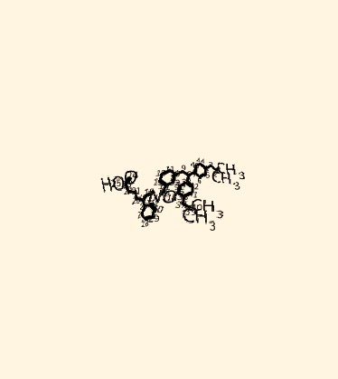 CC(C)Cc1ccc(C(Cc2cccc(C(=O)n3cc(CCCC(=O)O)c4ccccc43)c2)c2ccc(CC(C)C)cc2)cc1